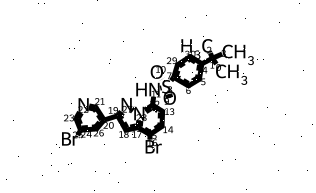 CC(C)(C)c1ccc(S(=O)(=O)Nc2ccc(Br)c3cc(-c4cncc(Br)c4)nn23)cc1